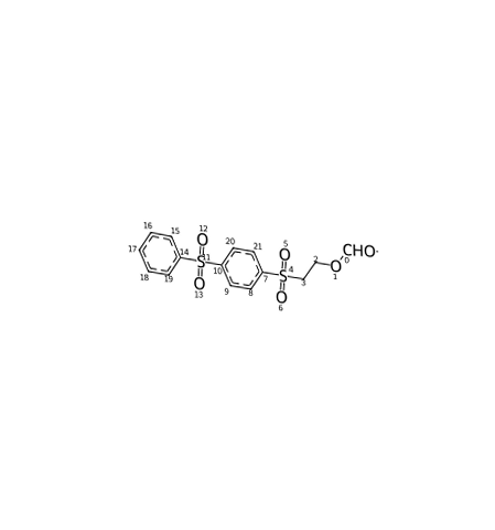 O=[C]OCCS(=O)(=O)c1ccc(S(=O)(=O)c2ccccc2)cc1